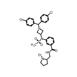 CCN1CCCC1CNC(=O)c1cccc(N(C2CN(C(c3ccc(Cl)cc3)c3ccc(Cl)cc3)C2)S(C)(=O)=O)c1